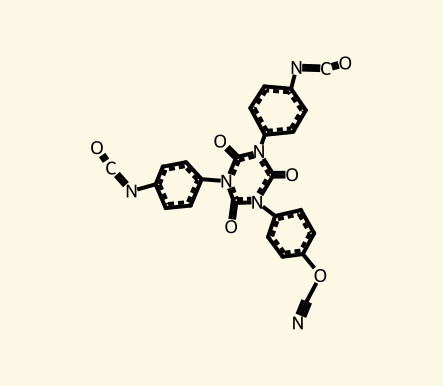 N#COc1ccc(-n2c(=O)n(-c3ccc(N=C=O)cc3)c(=O)n(-c3ccc(N=C=O)cc3)c2=O)cc1